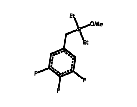 CC[Si](CC)(Cc1cc(F)c(F)c(F)c1)OC